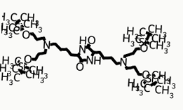 CC(C)(C)[Si](C)(C)OCCCN(CCCCC1NC(=O)C(CCCCN(CCCO[Si](C)(C)C(C)(C)C)CCCO[Si](C)(C)C(C)(C)C)NC1=O)CCCO[Si](C)(C)C(C)(C)C